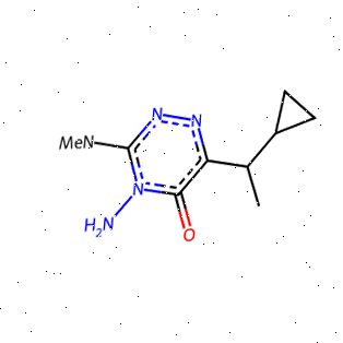 CNc1nnc(C(C)C2CC2)c(=O)n1N